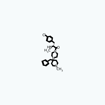 CN[C@H](Cc1ccc(Cl)cc1)C(=O)N1CCN(C2(Cc3ccccc3)CCN(C)CC2)CC1